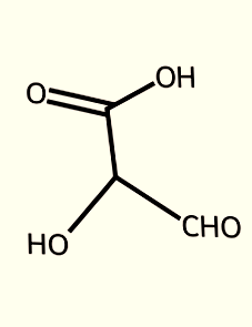 O=CC(O)C(=O)O